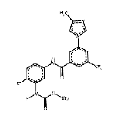 Cc1cn(-c2cc(C(=O)Nc3ccc(F)c(N(F)C(=O)OC(C)(C)C)c3)cc(C(F)(F)F)c2)cn1